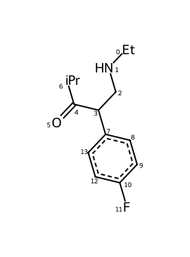 CCNCC(C(=O)C(C)C)c1ccc(F)cc1